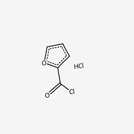 Cl.O=C(Cl)c1ccco1